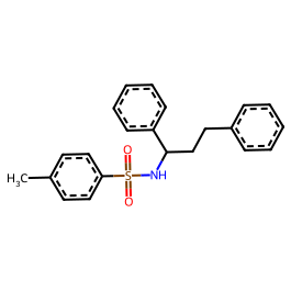 Cc1ccc(S(=O)(=O)NC(CCc2ccccc2)c2ccccc2)cc1